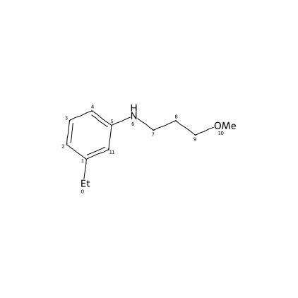 CCc1cccc(NCCCOC)c1